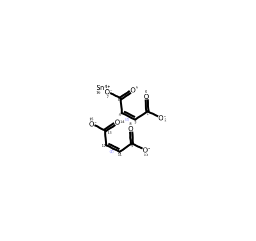 O=C([O-])/C=C\C(=O)[O-].O=C([O-])/C=C\C(=O)[O-].[Sn+4]